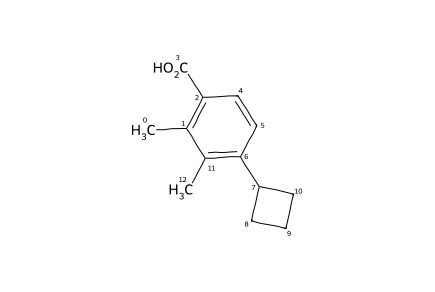 Cc1c(C(=O)O)ccc(C2CCC2)c1C